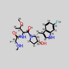 CN[C@H](C)C(=O)NC(C(=O)N1CC[C@H](O)[C@H]1Cc1c[nH]c2cc(F)ccc12)C(C)OC